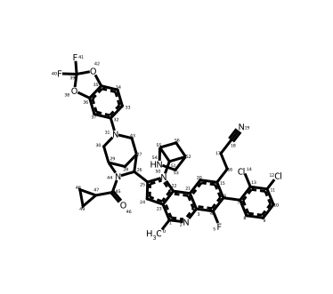 Cc1nc2c(F)c(-c3cccc(Cl)c3Cl)c(CCC#N)cc2c2c1cc(C1C3CC(CN(c4ccc5c(c4)OC(F)(F)O5)C3)N1C(=O)C1CC1)n2C1C2CNC1C2